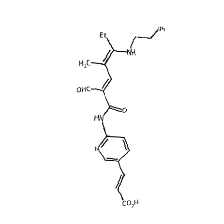 CC/C(NCCC(C)C)=C(C)/C=C(\C=O)C(=O)Nc1ccc(/C=C/C(=O)O)cn1